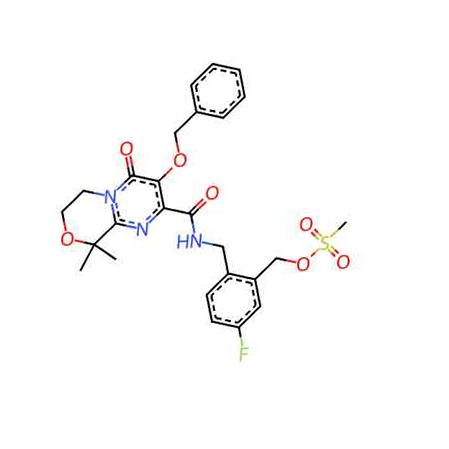 CC1(C)OCCn2c1nc(C(=O)NCc1ccc(F)cc1COS(C)(=O)=O)c(OCc1ccccc1)c2=O